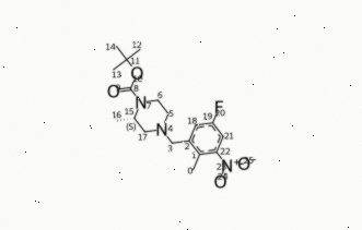 Cc1c(CN2CCN(C(=O)OC(C)(C)C)[C@@H](C)C2)cc(F)cc1[N+](=O)[O-]